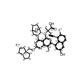 C#Cc1c(F)ccc2cc(O)cc(-c3nc(OC(C)(C)C(=O)O)c4c(N5CC6CCC(C5)N6)nc(OC[C@@]56CCCN5C[C@H](F)C6)nc4c3F)c12